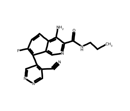 CCCNC(=O)c1ncc2c(-c3cnncc3C#N)c(F)ccc2c1N